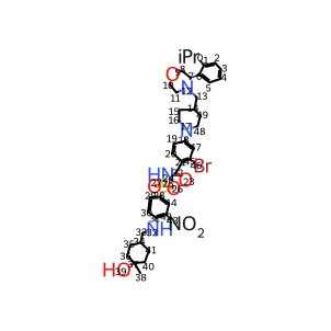 CC(C)c1ccccc1[C@@H]1COCCN1CC1CCN(c2ccc(C(=O)NS(=O)(=O)c3ccc(NCC4CCC(C)(O)CC4)c([N+](=O)[O-])c3)c(Br)c2)CC1